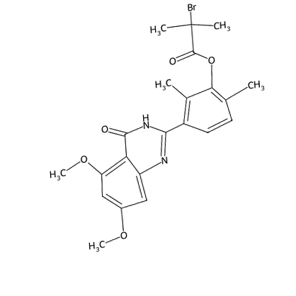 COc1cc(OC)c2c(=O)[nH]c(-c3ccc(C)c(OC(=O)C(C)(C)Br)c3C)nc2c1